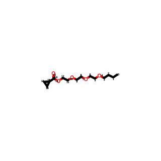 CCCCOCCOCCOCCOC(=O)C1CC1